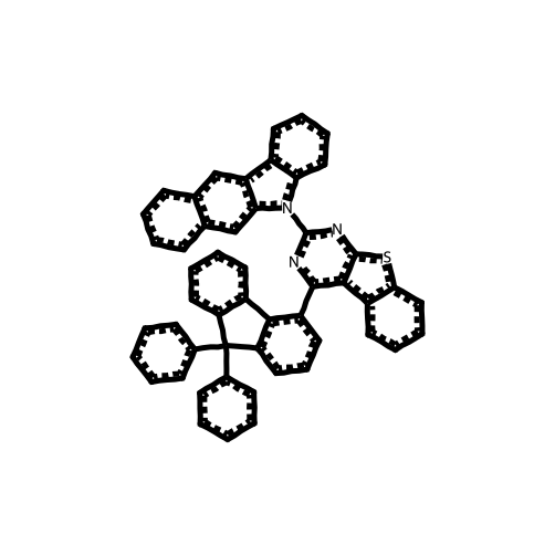 c1ccc(C2(c3ccccc3)c3ccccc3-c3c(-c4nc(-n5c6ccccc6c6cc7ccccc7cc65)nc5sc6ccccc6c45)cccc32)cc1